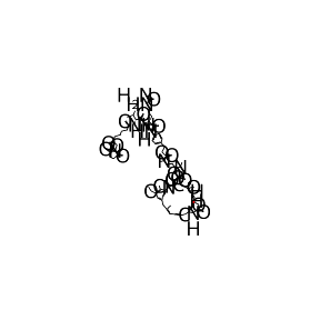 COc1cc2cc(c1Cl)N(C)C(=O)C[C@H](OC(=O)CN(C)C(=O)CCN(C)C(=O)OCc1ccc(NC(=O)[C@H](CCCNC(N)=O)NC(=O)[C@@H](NC(=O)CCCCC(=O)ON3C(=O)CCC3=O)C(C)C)cc1)[C@]1(C)O[C@H]1[C@H](C)[C@@H]1CC(C/C=C/C=C(\C)C2)NC(=O)O1